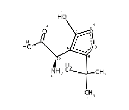 CC(C)(C)c1onc(O)c1[C@@H](N)C(=O)O